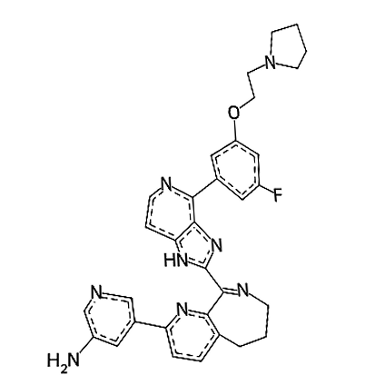 Nc1cncc(-c2ccc3c(n2)C(c2nc4c(-c5cc(F)cc(OCCN6CCCC6)c5)nccc4[nH]2)=NCCC3)c1